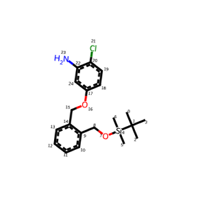 CC(C)(C)[Si](C)(C)OCc1ccccc1COc1ccc(Cl)c(N)c1